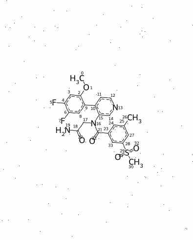 COc1cc(F)c(F)cc1-c1ccncc1N(CC(N)=O)C(=O)c1cc(C)cc(S(C)(=O)=O)c1